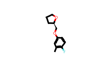 Cc1cc(OC[C@H]2CCCO2)ccc1F